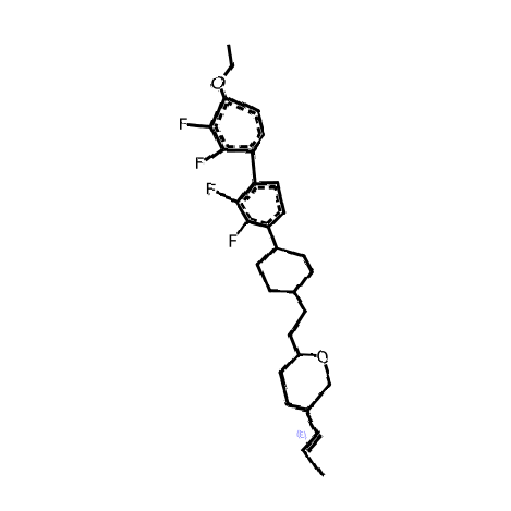 C/C=C/C1CCC(CCC2CCC(c3ccc(-c4ccc(OCC)c(F)c4F)c(F)c3F)CC2)OC1